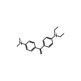 C=C(c1ccc(N(C)C)cc1)c1ccc(N(CC)CC)cc1